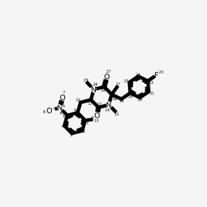 Cc1cccc([N+](=O)[O-])c1CC1C(=O)N(C)C(C)(Cc2ccc(F)cc2)C(=O)N1C